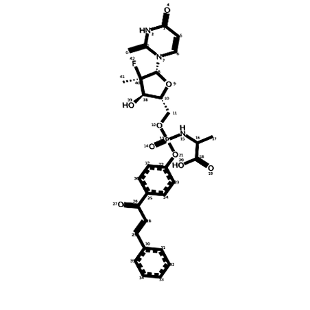 C=C1NC(=O)C=CN1[C@@H]1O[C@H](COP(=O)(NC(C)C(=O)O)Oc2ccc(C(=O)/C=C/c3ccccc3)cc2)[C@@H](O)[C@@]1(C)F